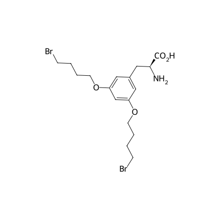 N[C@@H](Cc1cc(OCCCCBr)cc(OCCCCBr)c1)C(=O)O